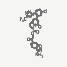 Nc1noc2cc(C(=O)COC(=O)[C@@H]3CCc4cc(-c5cc(Cl)ccc5-n5cc(C(F)(F)F)nn5)cc(=O)n43)ccc12